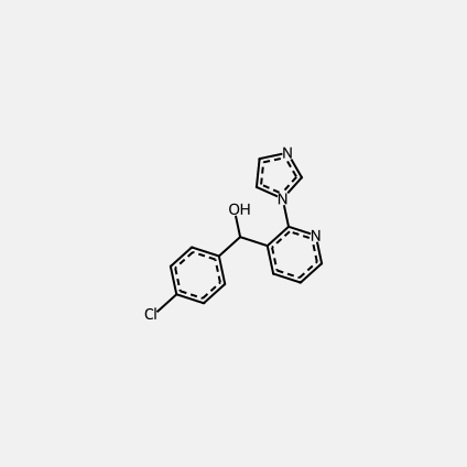 OC(c1ccc(Cl)cc1)c1cccnc1-n1ccnc1